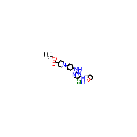 CCOC(=O)C1CCN(c2ccc(Nc3ncc(Cl)c(NC[C@@H]4CCCO4)n3)cc2)CC1